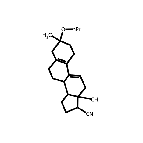 CCCOC1(C)CCC2=C(CCC3C2=CCC2(C)C(C#N)CCC32)C1